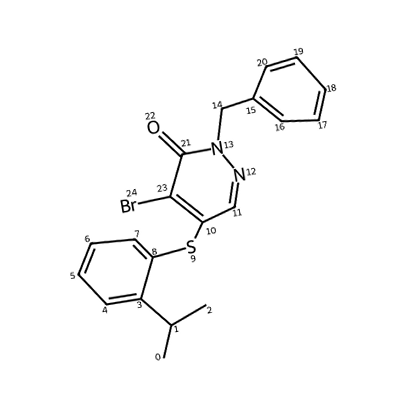 CC(C)c1ccccc1Sc1cnn(Cc2ccccc2)c(=O)c1Br